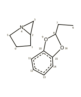 C1CC2CN2C1.CCC1Oc2ccccc2O1